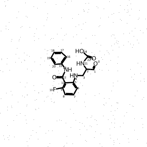 O=CC(CNc1cccc(F)c1C(=O)Nc1ccccc1)NC(=O)O